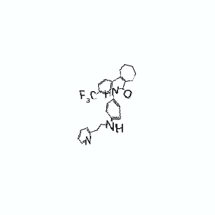 O=C(Nc1ccc(NCCc2ccccn2)cc1)C1=C(c2ccc(C(F)(F)F)cc2)CCCCC1